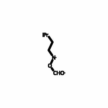 CC(C)CC[N]O[C]=O